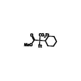 CCOC(=O)C(CC)(C(=O)OC)C1CCCCC1